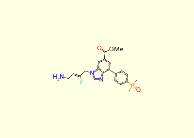 COC(=O)c1cc(-c2ccc(P(C)(C)=O)cc2)c2ncn(CC(F)=CCN)c2c1